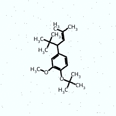 COc1cc(C(C=C(C)C)C(C)(C)C)ccc1OC(C)(C)C